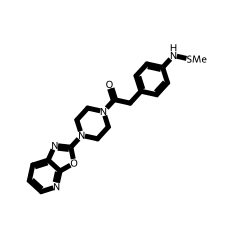 CSNc1ccc(CC(=O)N2CCN(c3nc4cccnc4o3)CC2)cc1